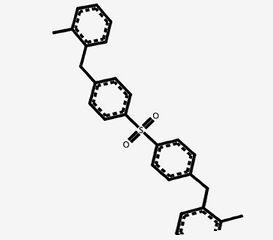 Cc1ccccc1Cc1ccc(S(=O)(=O)c2ccc(Cc3ccccc3C)cc2)cc1